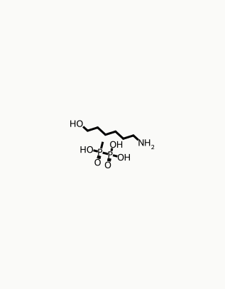 CP(=O)(O)P(=O)(O)O.NCCCCCCO